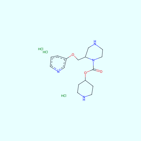 Cl.Cl.Cl.O=C(OC1CCNCC1)N1CCNCC1COc1cccnc1